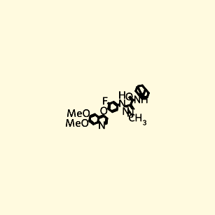 COc1cc2nccc(Oc3ccc(Nc4nn(C)cc4C(=O)NC45CC6CC(CC(C6)C4)C5)cc3F)c2cc1OC